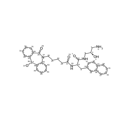 NC[C@@H](O)CNC(=O)C(Cc1ccc2ccccc2c1)NC(=O)CCCCN1C(=O)c2ccccc2[S+]([O-])c2ccccc21